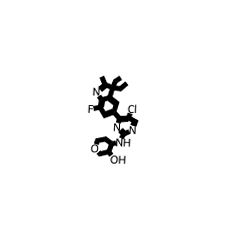 CCC1(CC)C(C)=Nc2c(F)cc(-c3nc(NC4CCOCC4O)ncc3Cl)cc21